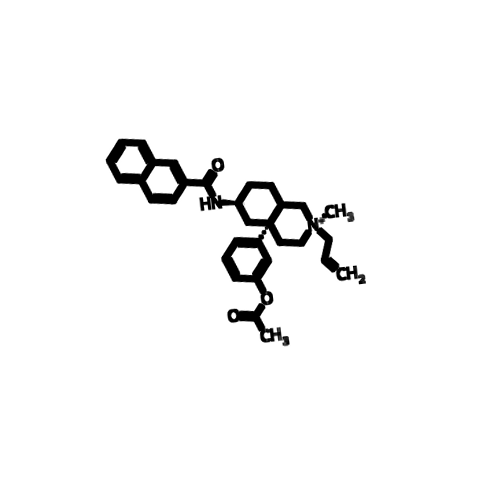 C=CC[N@@+]1(C)CC[C@@]2(c3cccc(OC(C)=O)c3)C[C@@H](NC(=O)c3ccc4ccccc4c3)CCC2C1